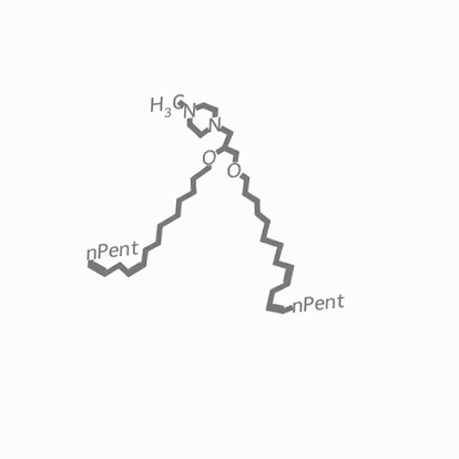 CCCCC/C=C\C/C=C\CCCCCCCCOCC(CN1CCN(C)CC1)OCCCCCCCC/C=C\C/C=C\CCCCC